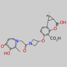 Cc1c(O)c(=O)ccn1CC(=O)N1CC(Oc2ccc3c(c2C(=O)O)OB(O)C2C3[C@@H]2C)C1